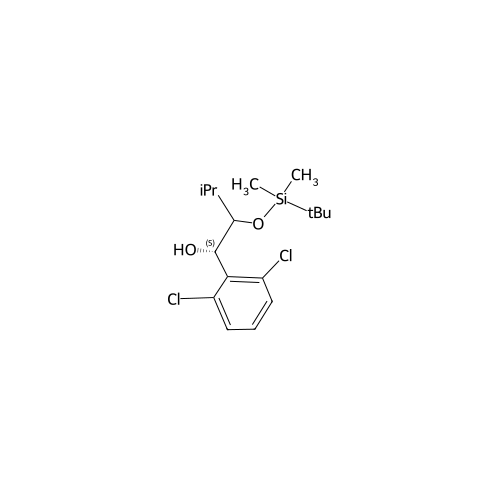 CC(C)C(O[Si](C)(C)C(C)(C)C)[C@@H](O)c1c(Cl)cccc1Cl